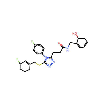 O=C(CCc1nnc(SCC2=CC(F)=CCC2)n1-c1ccc(F)cc1)NCC1=CC=CCC1O